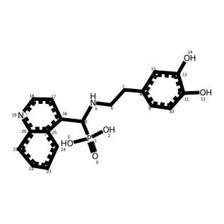 O=P(O)(O)C(NCCc1ccc(O)c(O)c1)c1ccnc2ccccc12